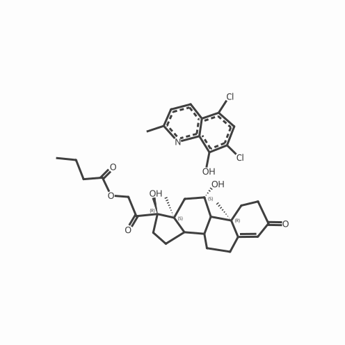 CCCC(=O)OCC(=O)[C@@]1(O)CCC2C3CCC4=CC(=O)CC[C@]4(C)C3[C@@H](O)C[C@@]21C.Cc1ccc2c(Cl)cc(Cl)c(O)c2n1